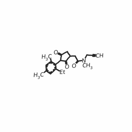 C#CCN(C)C(=O)CC1CC(=O)C(c2c(C)cc(C)cc2CC)C1=O